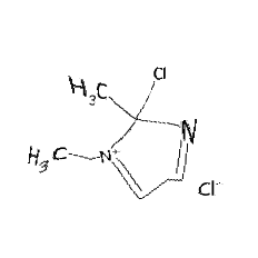 C[N+]1=CC=NC1(C)Cl.[Cl-]